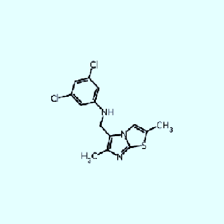 Cc1cn2c(CNc3cc(Cl)cc(Cl)c3)c(C)nc2s1